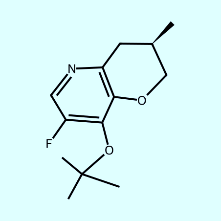 C[C@H]1COc2c(ncc(F)c2OC(C)(C)C)C1